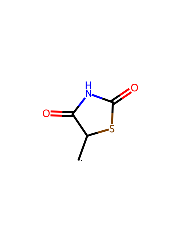 [CH2]C1SC(=O)NC1=O